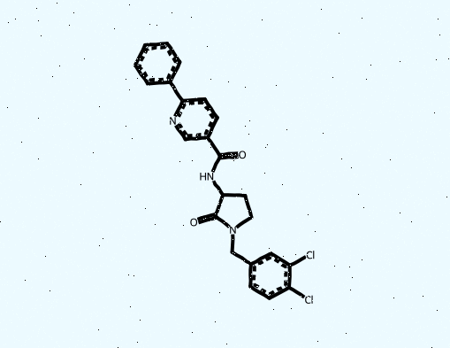 O=C(NC1CCN(Cc2ccc(Cl)c(Cl)c2)C1=O)c1ccc(-c2ccccc2)nc1